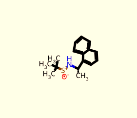 C[C@@H](N[S@+]([O-])C(C)(C)C)c1cccc2ccccc12